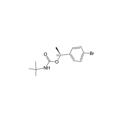 C[C@H](OC(=O)NC(C)(C)C)c1ccc(Br)cc1